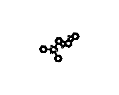 c1ccc(-c2nc(-c3ccccc3)nc(-c3cccc4c3sc3ccc5c6ccccc6sc5c34)n2)cc1